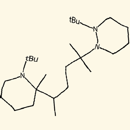 CC(CCC(C)(C)N1CCCCN1C(C)(C)C)C1(C)CCCCN1C(C)(C)C